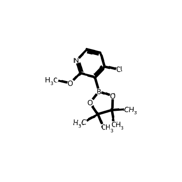 COc1nccc(Cl)c1B1OC(C)(C)C(C)(C)O1